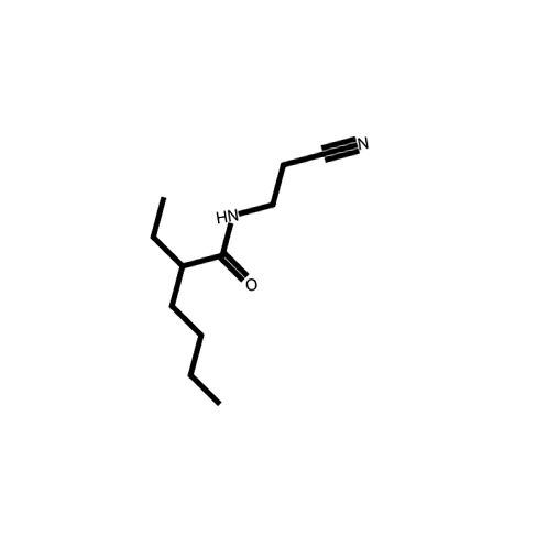 CCCCC(CC)C(=O)NCCC#N